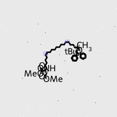 COC(=O)C[C@H](NC(=O)CCC/C=C\CCCCCCC/C=C\CCC[C@H](C)O[Si](c1ccccc1)(c1ccccc1)C(C)(C)C)C(=O)OC